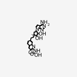 C[C@]1(CCc2ccc3cc(Cl)c(NC(=O)O)nc3c2)C[C@@H](n2ccc3c(N)ncnc32)[C@H](O)[C@@H]1O